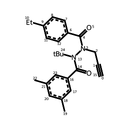 C#CCN(C(=O)c1ccc(CC)cc1)N(C(=O)c1cc(C)cc(C)c1)C(C)(C)C